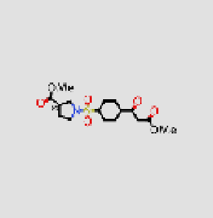 COC(=O)CC(=O)C1CCC(S(=O)(=O)N2CC[C@@H](C(=O)OC)C2)CC1